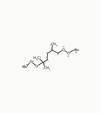 CC(CCC(C)(C)OOC(C)(C)C)COOC(C)(C)C